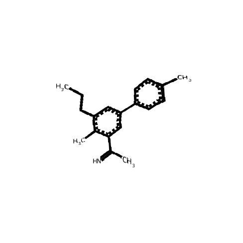 CCCc1cc(-c2ccc(C)cc2)cc(C(C)=N)c1C